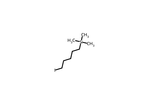 C[Si](C)(C)CCCCCI